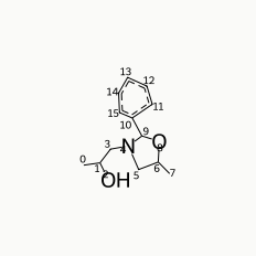 CC(O)CN1CC(C)OC1c1ccccc1